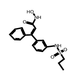 CCCS(=O)(=O)Nc1cccc(C(=CC(=O)NO)c2ccccc2)c1